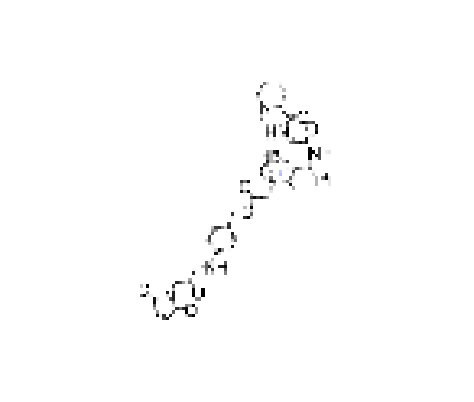 C/C(=C\C(C(C)C)N(C)C(=O)[C@@H](NC(=O)C1CCCCN1C)C(C)(C)C)C(=O)CC(=O)OCc1ccc(NCC(=O)CN2C(=O)C=CC2=O)cc1